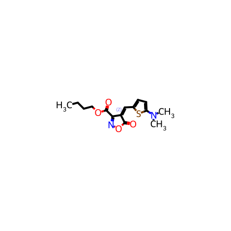 CCCCOC(=O)C1=NOC(=O)/C1=C\c1ccc(N(C)C)s1